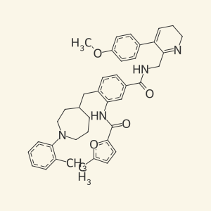 COc1ccc(C2=CCCN=C2CNC(=O)c2ccc(CC3CCCN(c4ccccc4C)CC3)c(NC(=O)c3ccc(C)o3)c2)cc1